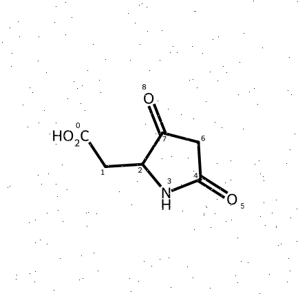 O=C(O)CC1NC(=O)CC1=O